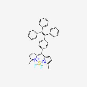 CC1=[N+]2C(=C(c3ccc(C(=C(c4ccccc4)c4ccccc4)c4ccccc4)cc3)c3ccc(C)n3S2(F)F)C=C1